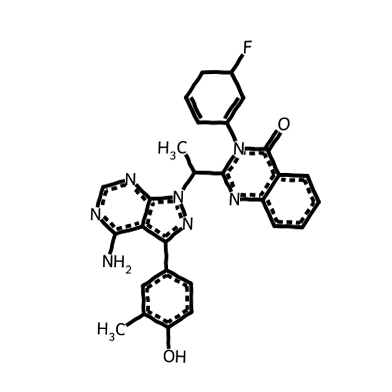 Cc1cc(-c2nn(C(C)c3nc4ccccc4c(=O)n3C3=CC(F)CC=C3)c3ncnc(N)c23)ccc1O